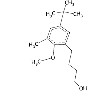 COc1c(C)cc(C(C)(C)C)cc1CCCCO